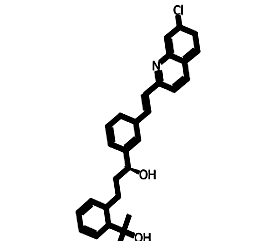 CC(C)(O)C1C=CC=CC1CC[C@H](O)C1=CC(/C=C/c2ccc3c(n2)=CC(Cl)CC=3)CC=C1